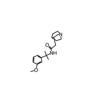 COc1cccc(C(C)(C)NC(=O)CC2CN3CCC2CC3)c1